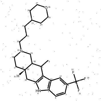 CC1c2c([nH]c3ccc(C(F)(F)F)cc23)C[C@@H]2CCN(CCCC3CCOCC3)CC12